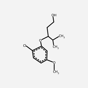 COc1ccc(Cl)c(OC(CCO)C(C)C)c1